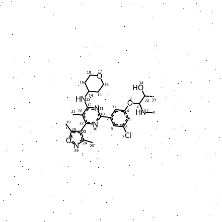 CNC(Oc1cc(Cl)cc(-c2nc(NC3CCOCC3)c(C)c(-c3c(C)noc3C)n2)c1)C(C)O